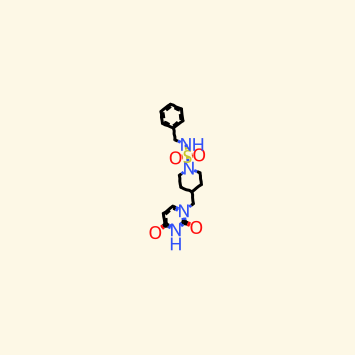 O=c1ccn(CC2CCN(S(=O)(=O)NCc3ccccc3)CC2)c(=O)[nH]1